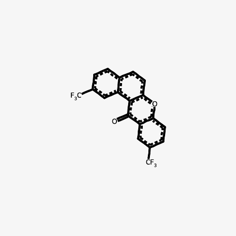 O=c1c2cc(C(F)(F)F)ccc2oc2ccc3ccc(C(F)(F)F)cc3c12